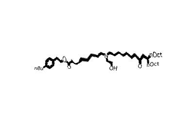 CCCCCCCCC(CCCCCCCC)CC(=O)CCCCCCCN(CCO)CCCCCCCC(=O)OCCc1ccc(CCCC)cc1